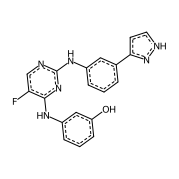 Oc1cccc(Nc2nc(Nc3cccc(-c4cc[nH]n4)c3)ncc2F)c1